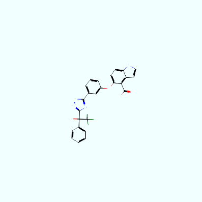 O=C(O)c1c(Oc2cccc(-c3nc(C(O)(c4ccccc4)C(F)(F)F)n[nH]3)c2)ccc2[nH]ccc12